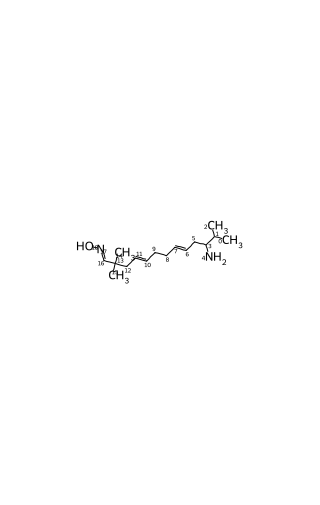 CC(C)C(N)C/C=C/CC/C=C/CC(C)(C)/C=N/O